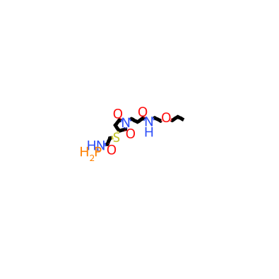 CCCOCCNC(=O)CCN1C(=O)CC(SCC(=O)NP)C1=O